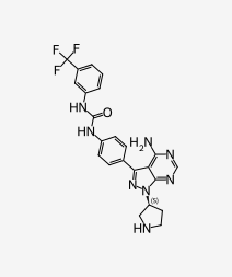 Nc1ncnc2c1c(-c1ccc(NC(=O)Nc3cccc(C(F)(F)F)c3)cc1)nn2[C@H]1CCNC1